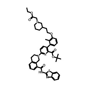 CCOC(=O)CN1CCCC(CCOc2cccc(-c3ccc(N4CCc5cccc(C(=O)Nc6nc7ccccc7s6)c5C4)nc3C(=O)OC(C)(C)C)c2C)C1